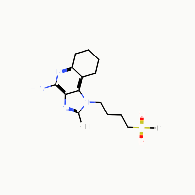 Cc1nc2c(N)nc3c(c2n1CCCCS(=O)(=O)C(C)C)CCCC3